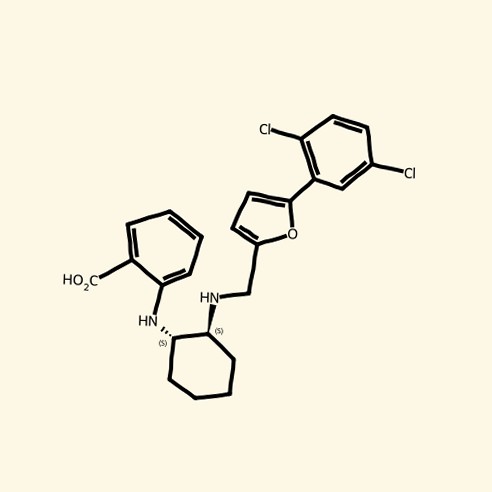 O=C(O)c1ccccc1N[C@H]1CCCC[C@@H]1NCc1ccc(-c2cc(Cl)ccc2Cl)o1